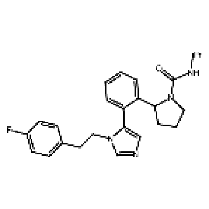 CC(C)NC(=O)N1CCCC1c1ccccc1-c1cncn1CCc1ccc(F)cc1